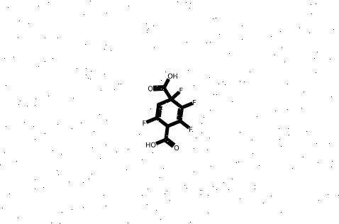 O=C(O)C1C(F)=CC(F)(C(=O)O)C(F)=C1F